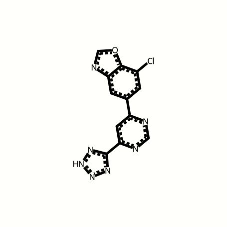 Clc1cc(-c2cc(-c3nn[nH]n3)ncn2)cc2ncoc12